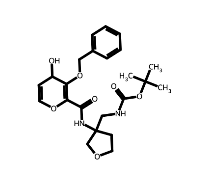 CC(C)(C)OC(=O)NCC1(NC(=O)C2=C(OCc3ccccc3)C(O)C=CO2)CCOC1